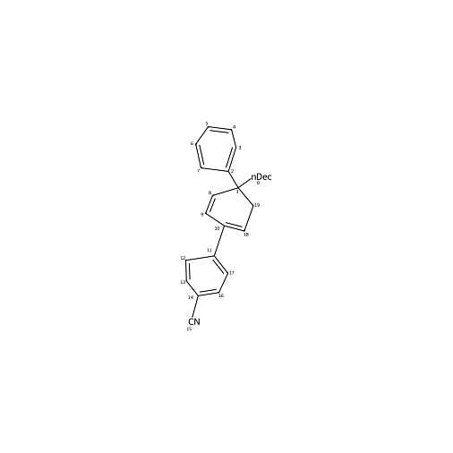 CCCCCCCCCCC1(c2ccccc2)C=CC(c2ccc(C#N)cc2)=CC1